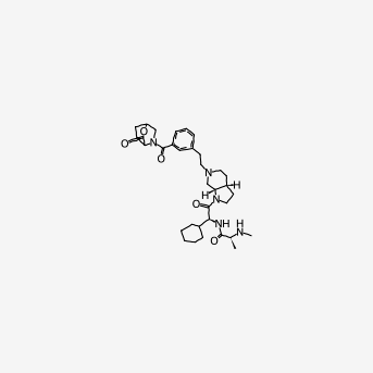 CN[C@@H](C)C(=O)N[C@H](C(=O)N1CC[C@H]2CCN(CCc3cccc(C(=O)N4CC5CCC4C(=O)O5)c3)C[C@H]21)C1CCCCC1